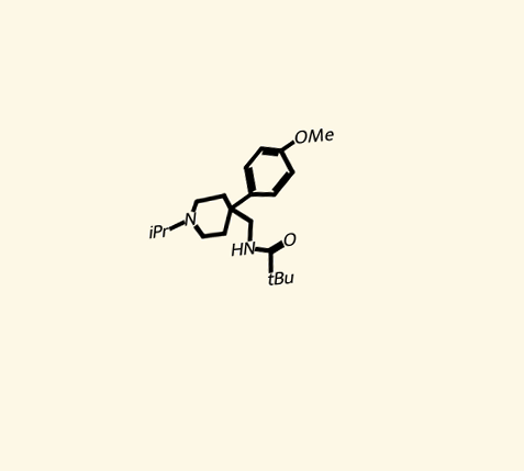 COc1ccc(C2(CNC(=O)C(C)(C)C)CCN(C(C)C)CC2)cc1